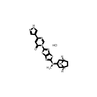 CN(c1nc2sc(-n3cnc(-c4cn[nH]c4)cc3=O)nc2s1)C1C[C@H]2CC[C@@H](C1)N2C.Cl